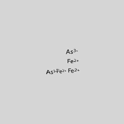 [As-3].[As-3].[Fe+2].[Fe+2].[Fe+2]